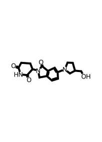 O=C1CCC(N2Cc3ccc(N4CCC(CO)C4)cc3C2=O)C(=O)N1